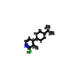 CCC(CC)C1CCC(c2ccnc(F)c2C)CC1